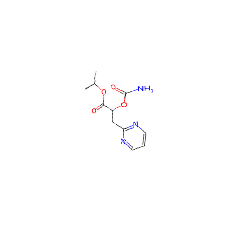 CC(C)OC(=O)C(Cc1ncccn1)OC(N)=O